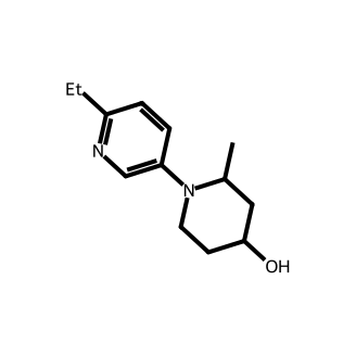 CCc1ccc(N2CCC(O)CC2C)cn1